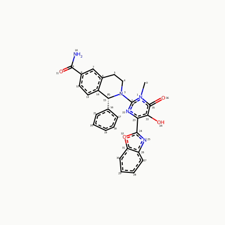 Cn1c(N2CCc3cc(C(N)=O)ccc3[C@H]2c2ccccc2)nc(-c2nc3ccccc3o2)c(O)c1=O